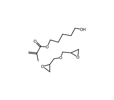 C(OCC1CO1)C1CO1.C=C(C)C(=O)OCCCCCO